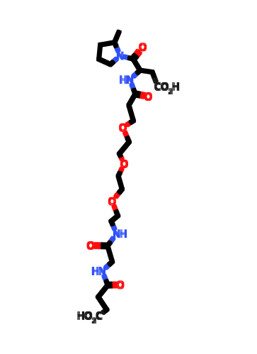 CC1CCCN1C(=O)C(CC(=O)O)NC(=O)CCOCCOCCOCCNC(=O)CNC(=O)CCC(=O)O